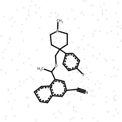 CC(OCC1(c2ccc(F)cc2)CCN(C)CC1)c1cc(C#N)cc2ccccc12